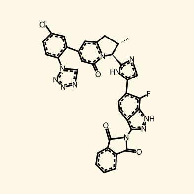 C[C@H]1Cc2cc(-c3cc(Cl)ccc3-n3cnnn3)cc(=O)n2[C@@H]1c1ncc(-c2ccc3c(N4C(=O)c5ccccc5C4=O)n[nH]c3c2F)[nH]1